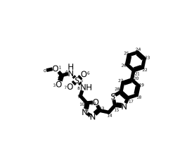 COC(=O)NS(=O)(=O)NCc1nnc(Cc2nc3ccc(-c4ccccc4)cc3s2)o1